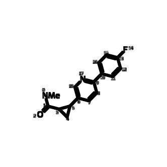 CNC(=O)C1CC1c1ccc(-c2ccc(F)cc2)nc1